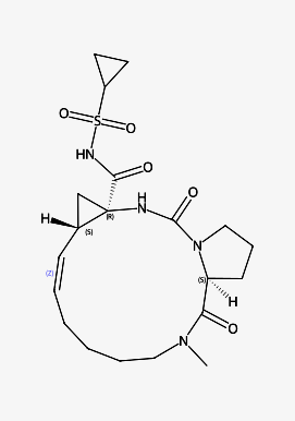 CN1CCCC/C=C\[C@@H]2C[C@@]2(C(=O)NS(=O)(=O)C2CC2)NC(=O)N2CCC[C@H]2C1=O